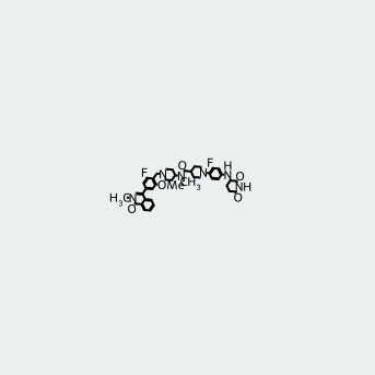 COc1cc(-c2cn(C)c(=O)c3ccccc23)cc(F)c1CN1CCC(N(C)C(=O)C2CCN(c3ccc(NC4CCC(=O)NC4=O)cc3F)CC2)CC1